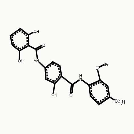 CC(C)Oc1cc(C(=O)O)ccc1NC(=O)c1ccc(NC(=O)c2c(O)cccc2O)cc1O